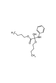 CCCCOC(=O)C(O)(Nc1ccccc1)OCCCC